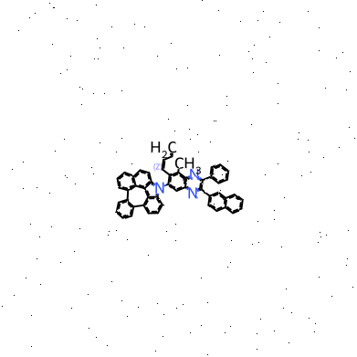 C=C/C=C\c1c(-n2c3cccc4c3c3c5c(cccc5ccc32)-c2ccccc2-4)cc2nc(-c3ccc4ccccc4c3)c(-c3ccccc3)nc2c1C